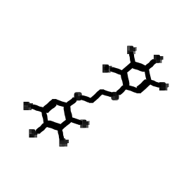 Brc1cc(OCCOc2cc(Br)c(Br)c(Br)c2Br)c(Br)c(Br)c1Br